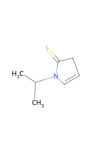 CC(C)N1C=CCC1=S